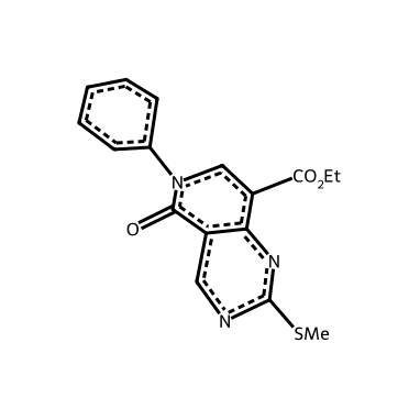 CCOC(=O)c1cn(-c2ccccc2)c(=O)c2cnc(SC)nc12